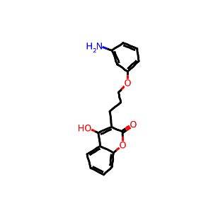 Nc1cccc(OCCCc2c(O)c3ccccc3oc2=O)c1